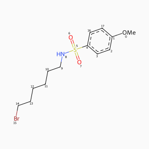 COc1ccc(S(=O)(=O)NCCCCCCBr)cc1